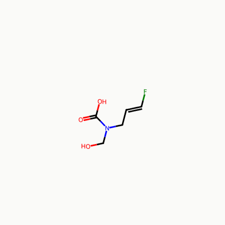 O=C(O)N(CO)CC=CF